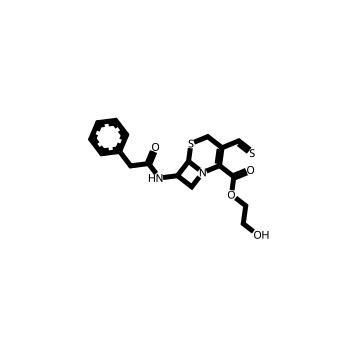 O=C(Cc1ccccc1)NC1CN2C(C(=O)OCCO)=C(C=S)CSC12